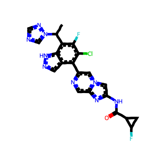 CC(c1c(F)c(Cl)c(-c2cn3cc(NC(=O)C4CC4F)nc3cn2)c2cn[nH]c12)n1cncn1